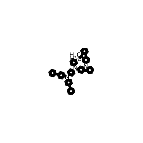 CC1(C)c2ccccc2-c2ccc(-n3c4ccccc4c4ccc(N(c5ccccc5)c5ccc(N(c6ccc(-c7ccccc7)cc6)c6ccc(-c7ccccc7)cc6)cc5)cc43)cc21